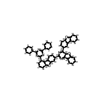 c1ccc(-c2nc(-c3ccccc3)nc(-c3cccc4oc5cc(-c6nc(-c7ccc8oc9ccccc9c8c7)c7oc8ccccc8c7n6)ccc5c34)n2)cc1